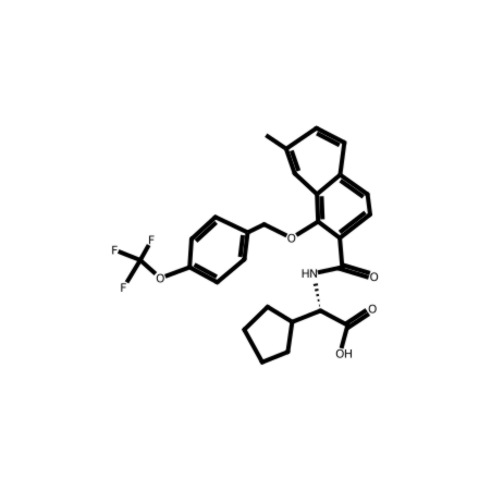 Cc1ccc2ccc(C(=O)N[C@H](C(=O)O)C3CCCC3)c(OCc3ccc(OC(F)(F)F)cc3)c2c1